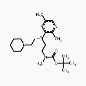 Cc1cnc(C)c([C@@H](CCN2CCCCC2)CCN(C)C(=O)OC(C)(C)C)n1